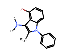 CCN(CC)c1c(C(=O)O)n(-c2ccccc2)c2cccc(Br)c12